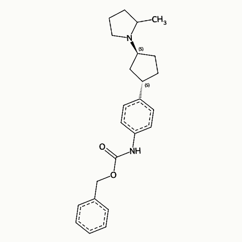 CC1CCCN1[C@H]1CC[C@H](c2ccc(NC(=O)OCc3ccccc3)cc2)C1